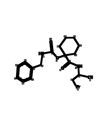 CC(C)CC(C#N)NC(=O)C1(OC(=O)NCc2ccccc2)CCCCC1